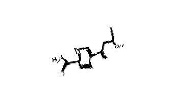 CC(O)CC(C)c1ccc(C(N)=O)nc1